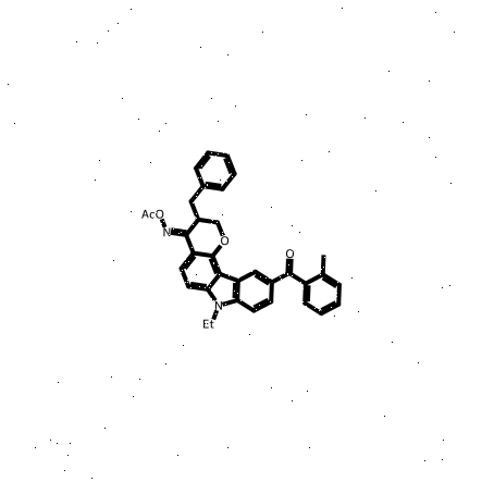 CCn1c2ccc(C(=O)c3ccccc3C)cc2c2c3c(ccc21)/C(=N/OC(C)=O)C(Cc1ccccc1)CO3